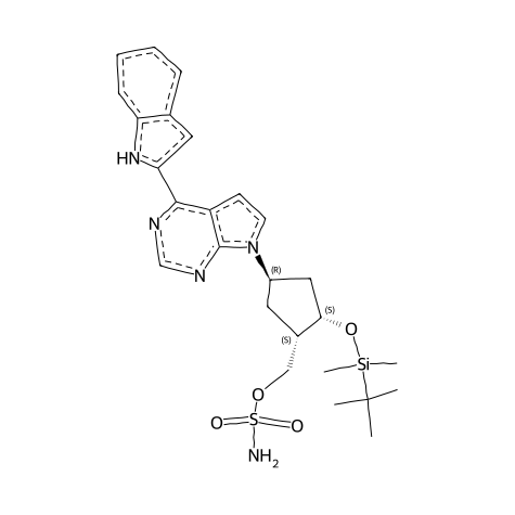 CC(C)(C)[Si](C)(C)O[C@H]1C[C@H](n2ccc3c(-c4cc5ccccc5[nH]4)ncnc32)C[C@H]1COS(N)(=O)=O